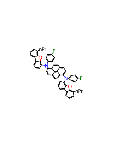 CCCc1cccc2c1oc1c(N(c3ccc(F)cc3)c3ccc4ccc5c(N(c6ccc(F)cc6)c6cccc7c6oc6c(CCC)cccc67)ccc6ccc3c4c65)cccc12